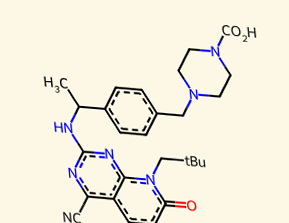 CC(Nc1nc(C#N)c2ccc(=O)n(CC(C)(C)C)c2n1)c1ccc(CN2CCN(C(=O)O)CC2)cc1